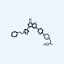 CC(O)CN1CCN(c2ccc(-c3cnc4[nH]cc(-c5cnn(CCc6ccccc6)c5)c4c3)cn2)CC1